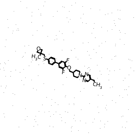 CCc1cnc(N2CCC(COc3c(F)cc(-c4ccc(SCC5(C)COC5)cc4)cc3F)CC2)nc1